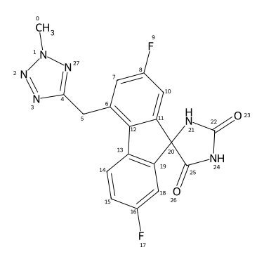 Cn1nnc(Cc2cc(F)cc3c2-c2ccc(F)cc2C32NC(=O)NC2=O)n1